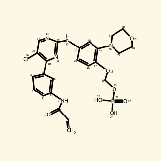 C=CC(=O)Nc1cccc(-c2nc(Nc3ccc(OCOP(=O)(O)O)c(N4CCOCC4)c3)ncc2Cl)c1